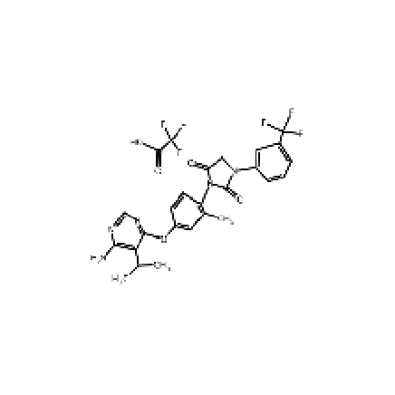 Cc1cc(Oc2ncnc(N)c2C(C)C)ccc1N1C(=O)CN(c2cccc(C(F)(F)F)c2)C1=O.O=C(O)C(F)(F)F